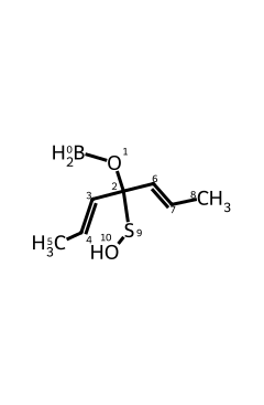 BOC(C=CC)(C=CC)SO